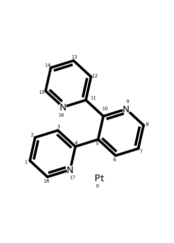 [Pt].c1ccc(-c2cccnc2-c2ccccn2)nc1